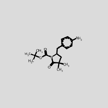 CC(C)(C)OC(=O)N1C(=O)C(C)(C)CC1Cc1ccc(N)cc1